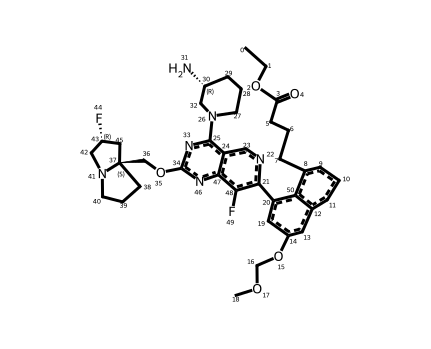 CCOC(=O)CCCc1cccc2cc(OCOC)cc(-c3ncc4c(N5CCC[C@@H](N)C5)nc(OC[C@@]56CCCN5C[C@H](F)C6)nc4c3F)c12